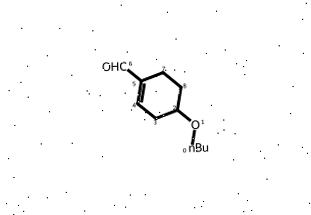 CCCCOC1CC=C(C=O)CC1